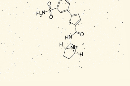 NS(=O)(=O)c1cccc(-c2ccc(C(=O)N[C@@H]3C[C@H]4CC[C@@H]3N4)s2)c1